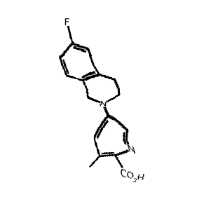 Cc1cc(N2CCc3cc(F)ccc3C2)cnc1C(=O)O